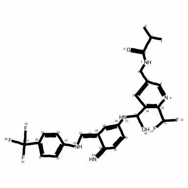 CC(C)C(=O)NCc1cnc(C(F)F)c(C(O)NC2=C/C(=C/Nc3ccc(C(F)(F)F)cc3)C(=N)C=C2)c1